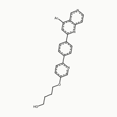 CC(=O)c1cc(-c2ccc(-c3ccc(OCCCCO)cn3)cc2)nc2ccncc12